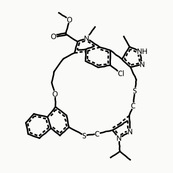 COC(=O)c1c2c3ccc(Cl)c(c3n1C)-c1c(n[nH]c1C)CSCc1cc(n(C(C)C)n1)CSc1cc(c3ccccc3c1)OCCC2